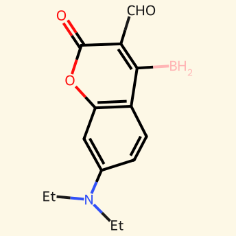 Bc1c(C=O)c(=O)oc2cc(N(CC)CC)ccc12